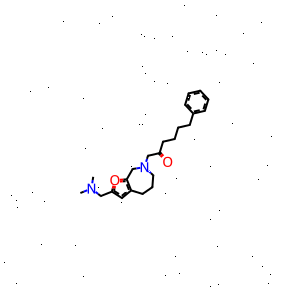 CN(C)Cc1cc2c(o1)CN(CC(=O)CCCCc1ccccc1)CCC2